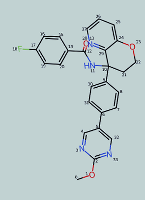 COc1ncc(-c2ccc(C3(NC(=O)c4ccc(F)cc4)CCOc4cccnc43)cc2)cn1